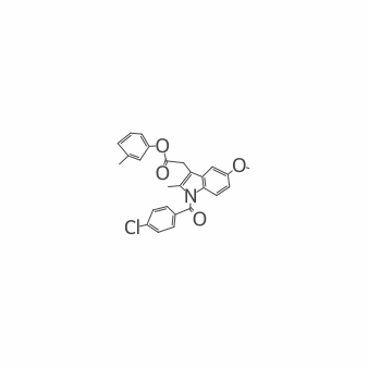 COc1ccc2c(c1)c(CC(=O)Oc1cccc(C)c1)c(C)n2C(=O)c1ccc(Cl)cc1